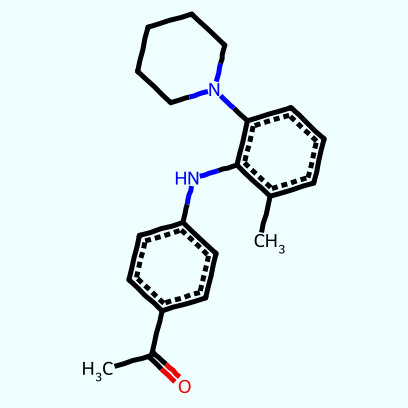 CC(=O)c1ccc(Nc2c(C)cccc2N2CCCCC2)cc1